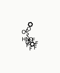 O=C(COc1ccccc1)SCCNS(=O)(=O)c1c(F)c(F)c(F)c(F)c1F